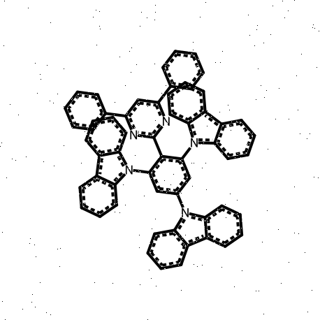 c1ccc(-c2cc(-c3ccccc3)nc(-c3c(-n4c5ccccc5c5ccccc54)cc(-n4c5ccccc5c5ccccc54)cc3-n3c4ccccc4c4ccccc43)n2)cc1